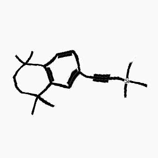 CC1(C)CCC(C)(C)c2cc(C#C[Si](C)(C)C)ccc21